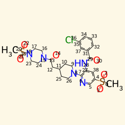 CS(=O)(=O)c1cnc(N2CCC(CC(=O)N3CCN(S(C)(=O)=O)CC3)CC2)c(NC(=O)c2cccc(Cl)c2)c1